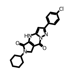 O=C1c2[nH]c3cc(-c4ccc(Cl)cc4)nn3c(=O)c2CN1C1CCCCC1